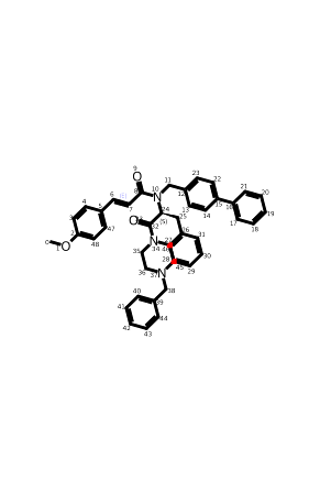 COc1ccc(/C=C/C(=O)N(Cc2ccc(-c3ccccc3)cc2)[C@@H](Cc2ccccc2)C(=O)N2CCN(Cc3ccccc3)CC2)cc1